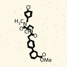 COC(=O)C1C=CC=C(c2ccc(CC(=O)N3CCC3(C)C(=O)N(C)Cc3ccc(Cl)cc3)cc2)C1